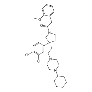 COc1ccccc1CC(=O)N1CC[C@@](CCN2CCN(C3CCCCC3)CC2)(c2ccc(Cl)c(Cl)c2)C1